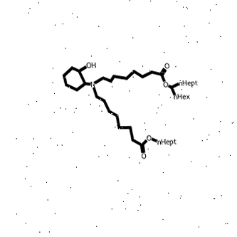 CCCCCCCOC(=O)CCCCCCCN(CCCCCCCC(=O)OC(CCCCCC)CCCCCCC)C1CCCCC1O